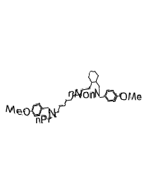 CCCCCCCCCN(Cc1ccc(OC)cc1)CC1CCCCC1CCCCCCCCCN(CCC)Cc1ccc(OC)cc1